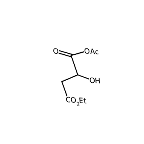 CCOC(=O)CC(O)C(=O)OC(C)=O